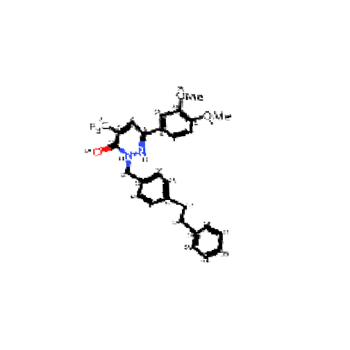 COc1ccc(-c2cc(C(F)(F)F)c(=O)n(Cc3ccc(CCc4ccccc4)cc3)n2)cc1OC